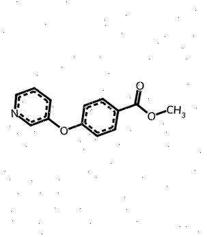 COC(=O)c1ccc(Oc2cccnc2)cc1